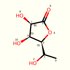 CC(O)[C@@H]1OC(=O)[C@H](O)[C@@H]1O